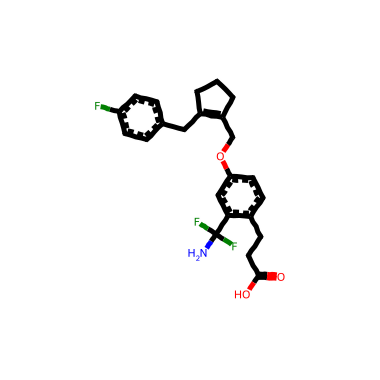 NC(F)(F)c1cc(OCC2=C(Cc3ccc(F)cc3)CCC2)ccc1CCC(=O)O